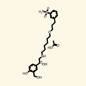 CC(=O)O.NS(=O)(=O)c1cccc(CCCOCCCCCCNC[C@H](O)c2ccc(O)c(CO)c2)c1